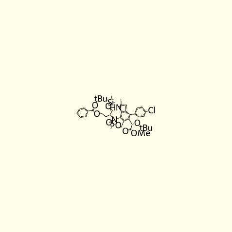 COC(=O)[C@@H](OC(C)(C)C)c1c(C)c(N([C@@H](CCOC(=O)c2ccccc2)CO[Si](C)(C)C(C)(C)C)S(C)(=O)=O)c2[nH]c(C)cc2c1-c1ccc(Cl)cc1